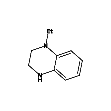 CCN1CCNc2ccccc21